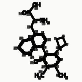 Cc1cc(N2CCC2)c(-c2ccc(C[C@H](N)C(=O)O)c3cccnc23)c(=O)n1C